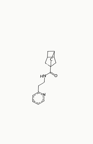 O=C(NCCc1ccccn1)C12CC3CC(C1)C3C2